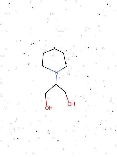 OCC(CO)N1CC[CH]CC1